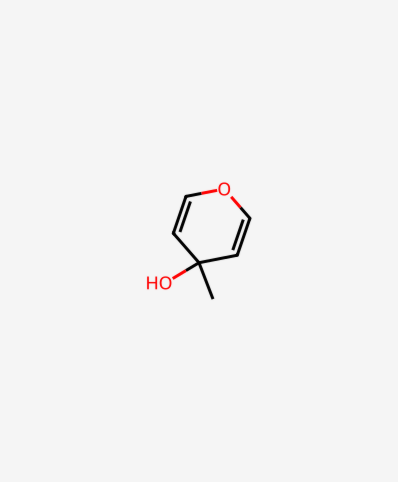 CC1(O)C=COC=C1